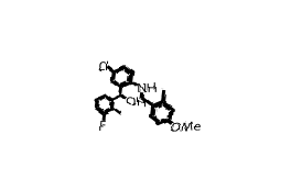 COc1ccc(CNc2ccc(Cl)cc2C(O)c2cccc(F)c2C)c(C)c1